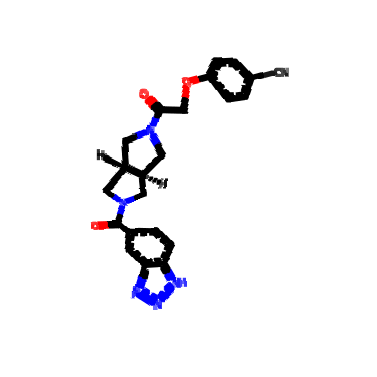 N#Cc1ccc(OCC(=O)N2C[C@H]3CN(C(=O)c4ccc5[nH]nnc5c4)C[C@@H]3C2)cc1